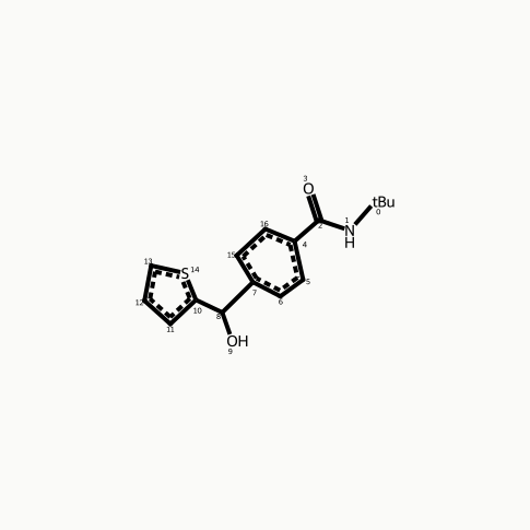 CC(C)(C)NC(=O)c1ccc(C(O)c2cccs2)cc1